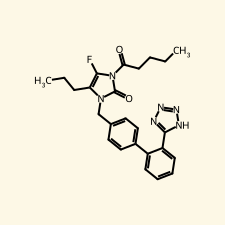 CCCCC(=O)n1c(F)c(CCC)n(Cc2ccc(-c3ccccc3-c3nnn[nH]3)cc2)c1=O